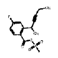 CS(=O)(=O)OC(=O)c1ccc(F)cc1C(O)C#CCO